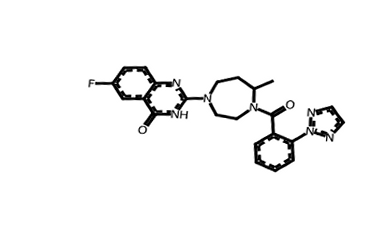 CC1CCN(c2nc3ccc(F)cc3c(=O)[nH]2)CCN1C(=O)c1ccccc1-n1nccn1